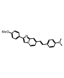 COc1ccc(-c2cn3ccc(C=Cc4ccc(N(C)C)cc4)cc3n2)cc1